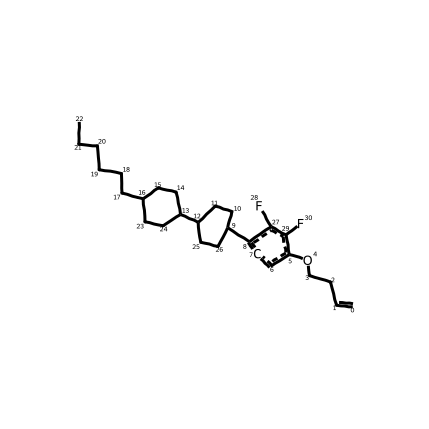 C=CCCOc1ccc(C2CCC(C3CCC(CCCCCC)CC3)CC2)c(F)c1F